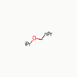 CCC[CH]OC(C)C